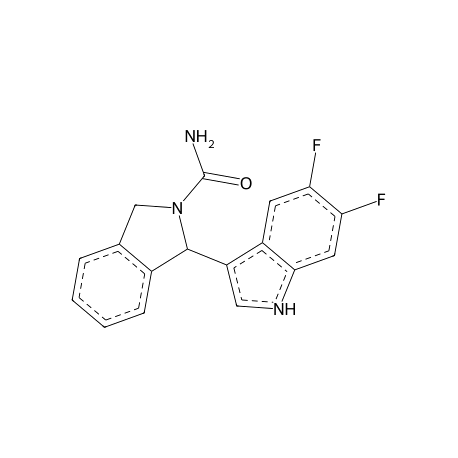 NC(=O)N1Cc2ccccc2C1c1c[nH]c2cc(F)c(F)cc12